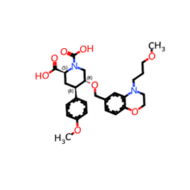 COCCCN1CCOc2ccc(CO[C@H]3CN(C(=O)O)[C@H](C(=O)O)C[C@@H]3c3ccc(OC)cc3)cc21